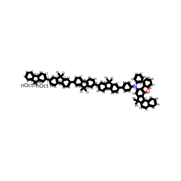 CCCCCCCCC1(CCCCCCCC)c2ccccc2-c2ccc(-c3ccc4c(c3)C(C)(C)c3cc(-c5ccc6c(c5)C(C)(C)c5cc(-c7ccc8c(c7)C(C)(C)c7cc(-c9ccc(N(c%10ccccc%10)c%10cc%11c(c%12oc%13ccccc%13c%10%12)-c%10c(ccc%12ccccc%10%12)C%11(C)C)cc9)ccc7-8)ccc5-6)ccc3-4)cc21